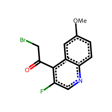 COc1ccc2ncc(F)c(C(=O)CBr)c2c1